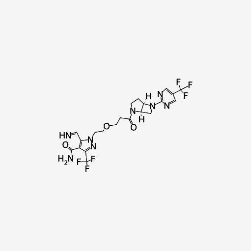 N=Cc1c(C(N)=O)c(C(F)(F)F)nn1CCOCCC(=O)N1CC[C@@H]2[C@H]1CN2c1ncc(C(F)(F)F)cn1